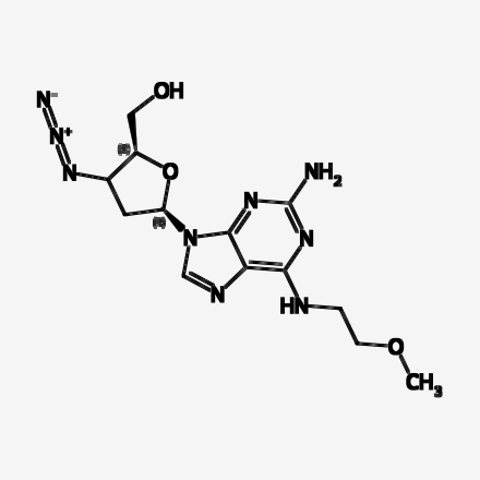 COCCNc1nc(N)nc2c1ncn2[C@H]1CC(N=[N+]=[N-])[C@@H](CO)O1